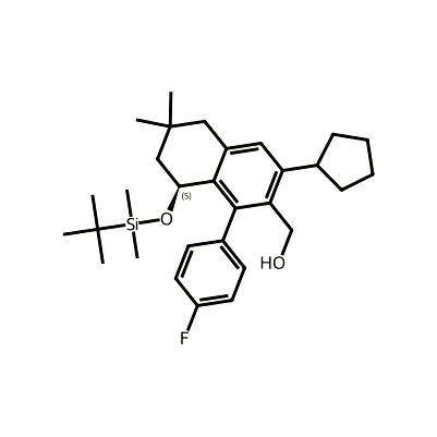 CC1(C)Cc2cc(C3CCCC3)c(CO)c(-c3ccc(F)cc3)c2[C@@H](O[Si](C)(C)C(C)(C)C)C1